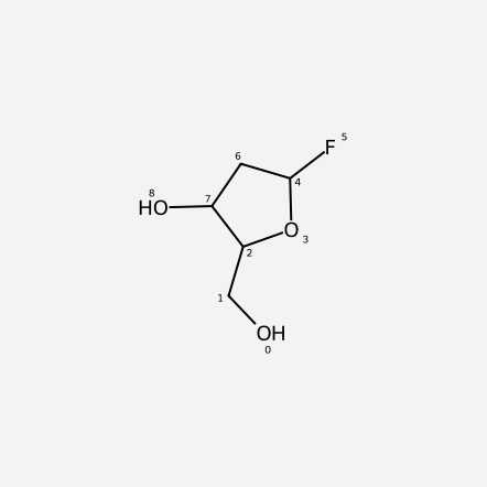 OCC1OC(F)CC1O